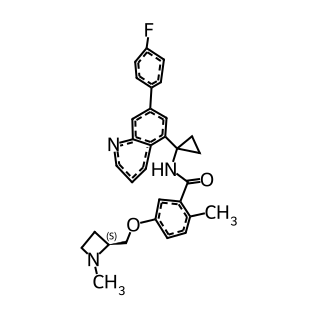 Cc1ccc(OC[C@@H]2CCN2C)cc1C(=O)NC1(c2cc(-c3ccc(F)cc3)cc3ncccc23)CC1